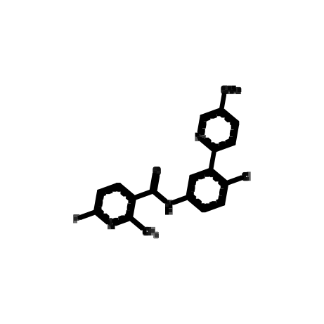 COc1ccc(-c2cc(NC(=O)c3ccc(F)nc3C)ccc2Cl)nc1